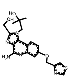 CC(C)(O)Cn1c(CO)nc2c(N)nc3cc(OCc4cscn4)ccc3c21